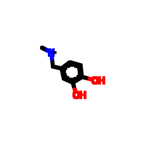 C[N]Cc1ccc(O)c(O)c1